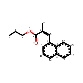 CCCOC(=O)C(C)=Cc1cccc2ccccc12